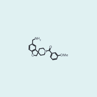 COc1cccc(C(=O)N2CCC3(CC2)COc2ccc(CN)cc23)c1